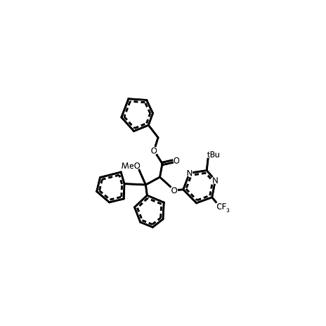 COC(c1ccccc1)(c1ccccc1)C(Oc1cc(C(F)(F)F)nc(C(C)(C)C)n1)C(=O)OCc1ccccc1